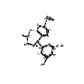 COc1ccc2c(c1)CN(C)CCN2c1cc(F)cc(F)c1